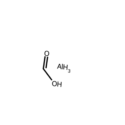 O=CO.[AlH3]